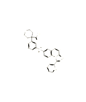 NC(=O)C1(c2cccc(S(=O)(=O)c3ccc4c(ccc5nnc(-c6ccccn6)n54)c3)c2)CCOCC1